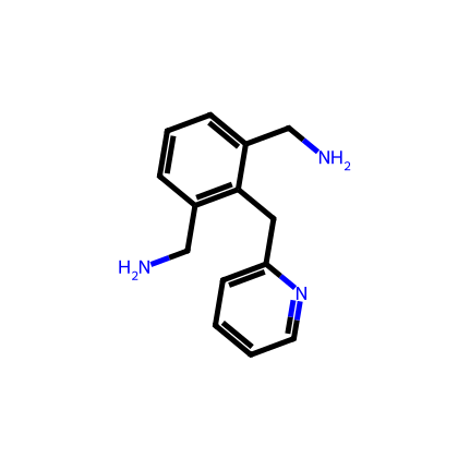 NCc1cccc(CN)c1Cc1ccccn1